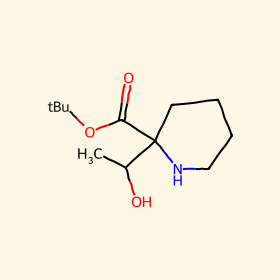 CC(O)C1(C(=O)OC(C)(C)C)CCCCN1